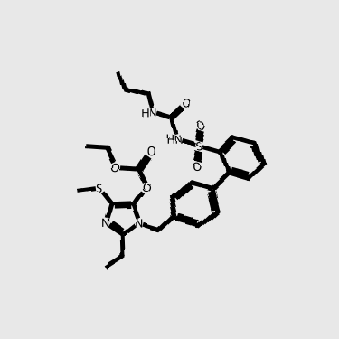 CCCNC(=O)NS(=O)(=O)c1ccccc1-c1ccc(Cn2c(CC)nc(SC)c2OC(=O)OCC)cc1